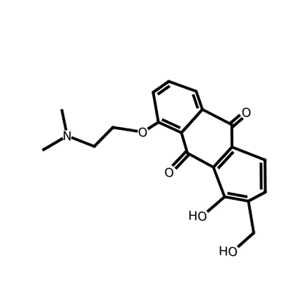 CN(C)CCOc1cccc2c1C(=O)c1c(ccc(CO)c1O)C2=O